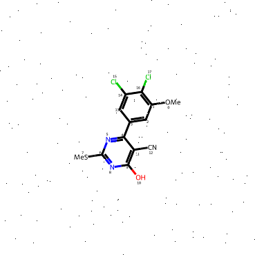 COc1cc(-c2nc(SC)nc(O)c2C#N)cc(Cl)c1Cl